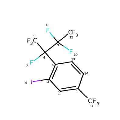 FC(F)(F)c1[c]c(I)c(C(F)(C(F)(F)F)C(F)(F)C(F)(F)F)cc1